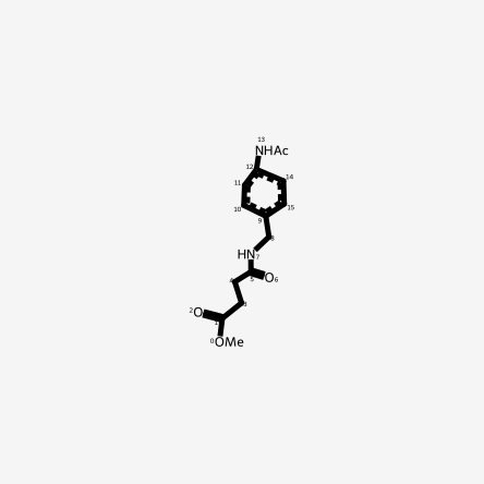 COC(=O)CCC(=O)NCc1ccc(NC(C)=O)cc1